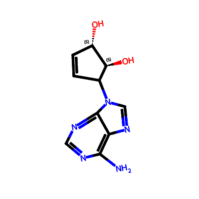 Nc1ncnc2c1ncn2C1C=C[C@H](O)[C@H]1O